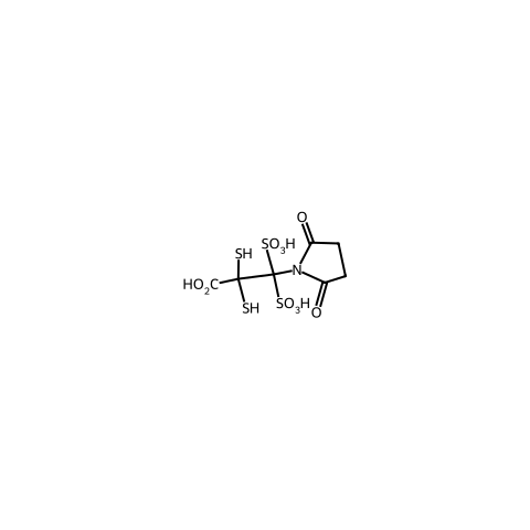 O=C1CCC(=O)N1C(C(S)(S)C(=O)O)(S(=O)(=O)O)S(=O)(=O)O